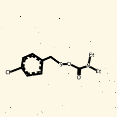 CCN(CC)C(=O)OSCc1ccc(Cl)cc1